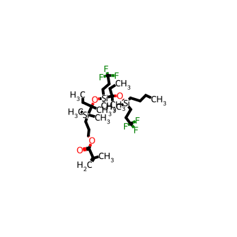 C=C(C)C(=O)OCCC[Si](C)(C)C(C)(CC)O[Si](C)(CCC(F)(F)F)C(C)(CC)O[Si](C)(CCCC)CCC(F)(F)F